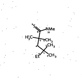 CCC(C)(C)CC(C)(C)C(=S)NC